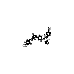 N#Cc1ccc2c(c1)nc(CN1CCC(c3cccc(OCc4ccc(Cl)cc4F)n3)CC1)n2C[C@@H]1CCO1